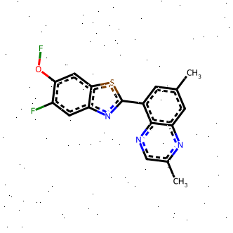 Cc1cc(-c2nc3cc(F)c(OF)cc3s2)c2ncc(C)nc2c1